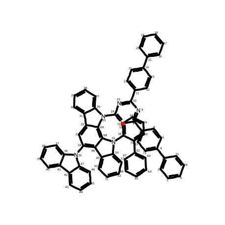 c1ccc(-c2ccc(-c3nc(-c4ccc(-c5ccccc5)cc4)nc(-n4c5ccccc5c5cc(-n6c7ccccc7c7ccccc76)c6c7ccccc7n(-c7ccccc7-c7ccccc7)c6c54)n3)cc2)cc1